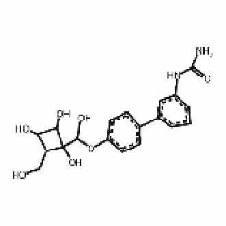 NC(=O)Nc1cccc(-c2ccc(OC(O)C3(O)C(O)C(O)C3CO)cc2)c1